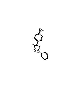 O=C(C[Se]c1ccccc1)c1ccc(Br)cc1